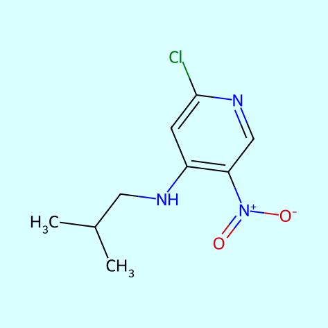 CC(C)CNc1cc(Cl)ncc1[N+](=O)[O-]